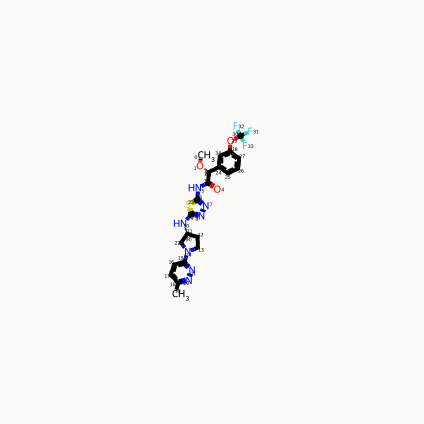 CO[C@@H](C(=O)Nc1nnc(N[C@@H]2CCN(c3ccc(C)nn3)C2)s1)c1cccc(OC(F)(F)F)c1